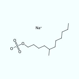 CCCCCCC(C)CCCCOS(=O)(=O)[O-].[Na+]